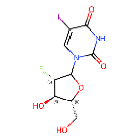 O=c1[nH]c(=O)n(C2O[C@H](CO)[C@@H](O)[C@@H]2F)cc1I